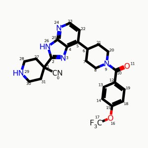 N#CC1(c2nc3c(C4CCN(C(=O)c5ccc(OC(F)(F)F)cc5)CC4)ccnc3[nH]2)CCNCC1